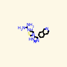 N=C(N)N.c1c[nH]nn1.c1ccc2cnccc2c1.c1cscn1